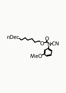 CCCCCCCCCCCCCCCCOC(=O)N(C#N)c1cccc(OC)c1